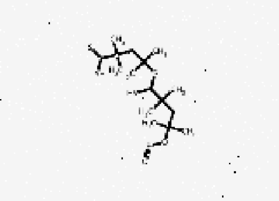 CC(C)(CC(C)(C)C(S)SC(C)(C)CC(C)(C)C(S)S)OP=O